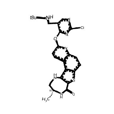 C[C@@H]1CNc2c(sc3ccc4nc(Oc5nc(Cl)ncc5CNC(C)(C)C)ccc4c23)C(=O)N1